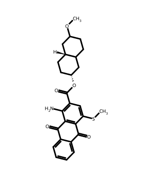 COC1CCC2C[C@H](OC(=O)c3cc(SC)c4c(c3N)C(=O)c3ccccc3C4=O)CC[C@@H]2C1